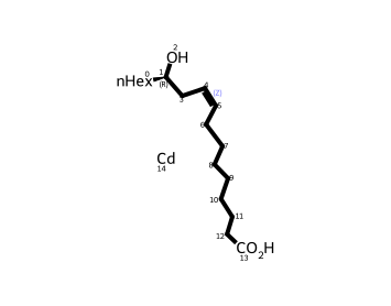 CCCCCC[C@@H](O)C/C=C\CCCCCCCC(=O)O.[Cd]